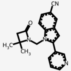 CC1(C)CC(=O)N1Cn1c(-c2cccnc2)cc2cc(C#N)ccc21